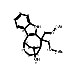 CCCCOCC1(COCCCC)c2[nH]c3ccccc3c2C2CC(O)C1CCN2